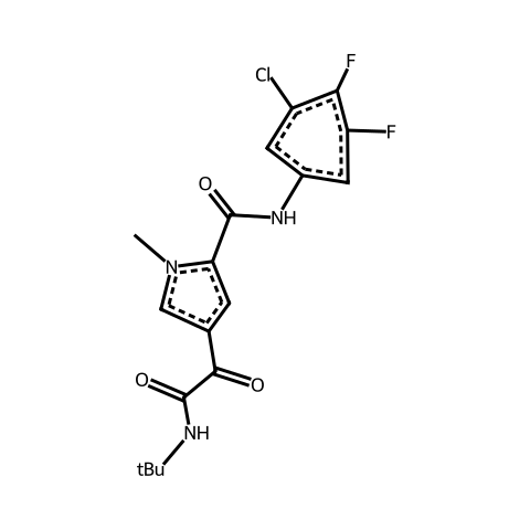 Cn1cc(C(=O)C(=O)NC(C)(C)C)cc1C(=O)Nc1cc(F)c(F)c(Cl)c1